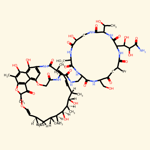 CO[C@H]1/C=C/O[C@@]2(C)Oc3c(C)c(O)c4c(O)c(cc(OCC(=O)NC(C)C(=O)NCC5NC(=O)C(C(=O)O)NC(=O)C(O)CNC(=O)C(C(C)O)NC(=O)C(C(O)C(O)C(N)=O)NC(=O)C(C(C)C)CC(=O)C(CO)NC5=O)c4c3C2=O)NC(=O)/C(C)=C\C=C\[C@H](C)[C@H](O)[C@@H](C)[C@@H](O)[C@@H](C)[C@H](OC(C)=O)[C@@H]1C